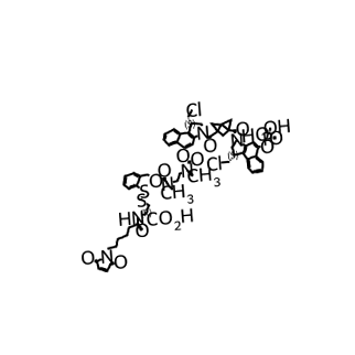 CN(CCN(C)C(=O)Oc1cc2c(c3ccccc13)[C@H](CCl)CN2C(=O)C12CC3(C(=O)N4C[C@@H](CCl)c5c4cc(OP(=O)(O)O)c4ccccc54)CC13C2)C(=O)OCc1ccccc1SSC[C@H](NC(=O)CCCCCN1C(=O)C=CC1=O)C(=O)O